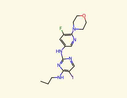 CCCNc1nc(Nc2cnc(N3CCOCC3)c(F)c2)ncc1I